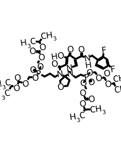 CC(C)OC(=O)OCOP(=O)(CCCN1C(=O)c2c(O)c(=O)c(C(=O)NCc3ccc(F)cc3F)cn2N(CCP(=O)(OCOC(=O)OC(C)C)OCOC(=O)OC(C)C)C12CCOC2)OCOC(=O)OC(C)C